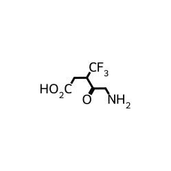 NCC(=O)C(CC(=O)O)C(F)(F)F